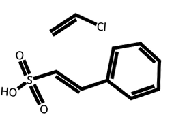 C=CCl.O=S(=O)(O)C=Cc1ccccc1